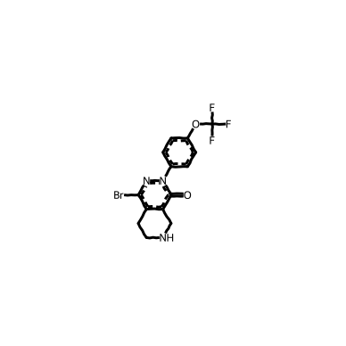 O=c1c2c(c(Br)nn1-c1ccc(OC(F)(F)F)cc1)CCNC2